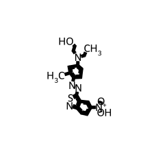 CCN(CCO)c1ccc(/N=N/c2snc3ccc([N+](=O)O)cc23)c(C)c1